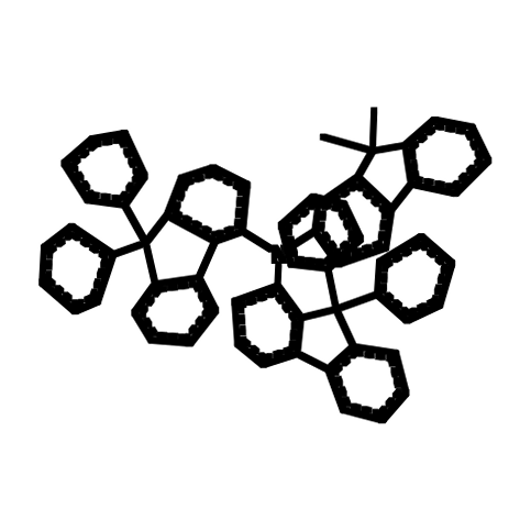 CC1(C)c2ccccc2-c2ccc(N(c3cccc4c3-c3ccccc3C4(c3ccccc3)c3ccccc3)c3cccc4c3C(c3ccccc3)(c3ccccc3)c3ccccc3-4)cc21